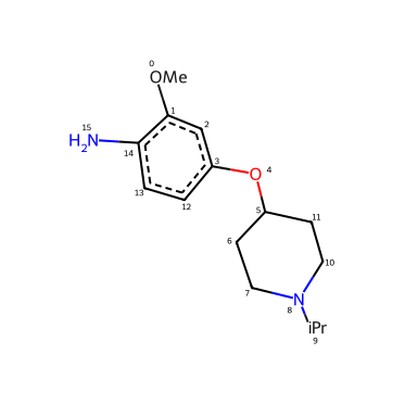 COc1cc(OC2CCN(C(C)C)CC2)ccc1N